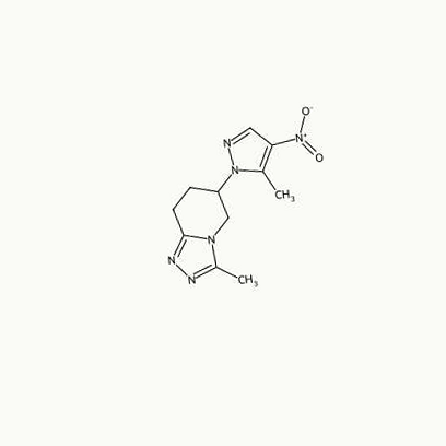 Cc1c([N+](=O)[O-])cnn1C1CCc2nnc(C)n2C1